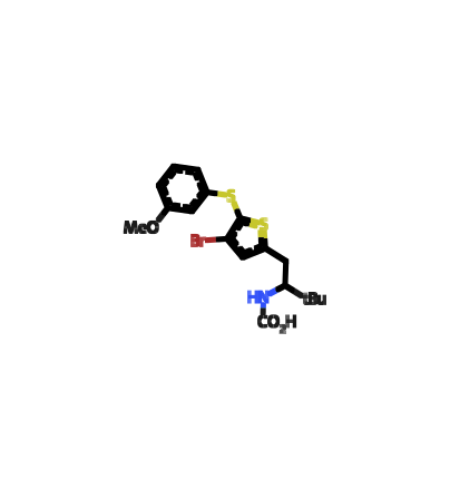 COc1cccc(Sc2sc(CC(NC(=O)O)C(C)(C)C)cc2Br)c1